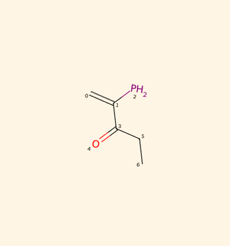 C=C(P)C(=O)CC